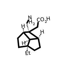 CC[C@]12CC[C@@H]3[C@H]1[C@H](CC2)[C@]3(CN)CC(=O)O